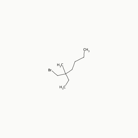 CCCCC(C)(CC)CBr